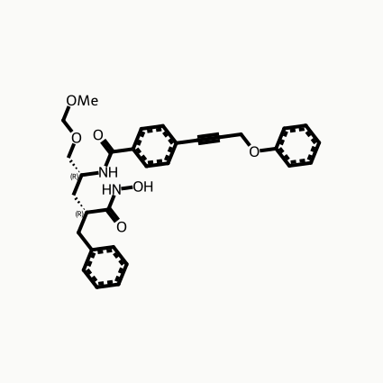 COCOC[C@@H](C[C@@H](Cc1ccccc1)C(=O)NO)NC(=O)c1ccc(C#CCOc2ccccc2)cc1